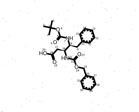 CC(C)(C)OC(=O)N[C@@H](Cc1ccccc1)[C@H](CC(=O)O)NC(=O)OCc1ccccc1